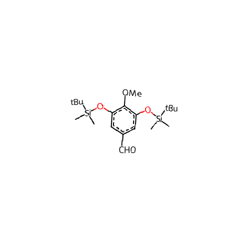 COc1c(O[Si](C)(C)C(C)(C)C)cc(C=O)cc1O[Si](C)(C)C(C)(C)C